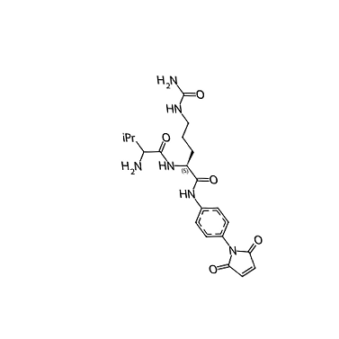 CC(C)C(N)C(=O)N[C@@H](CCCNC(N)=O)C(=O)Nc1ccc(N2C(=O)C=CC2=O)cc1